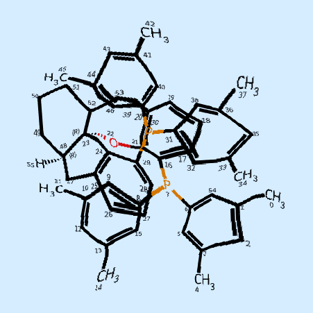 Cc1cc(C)cc(P(c2cc(C)cc(C)c2)c2cccc3c2O[C@]24c5c(cccc5P(c5cc(C)cc(C)c5)c5cc(C)cc(C)c5)C[C@H]2CCCC4C3)c1